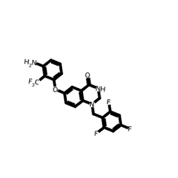 Nc1cccc(Oc2ccc3c(c2)C(=O)NCN3Cc2c(F)cc(F)cc2F)c1C(F)(F)F